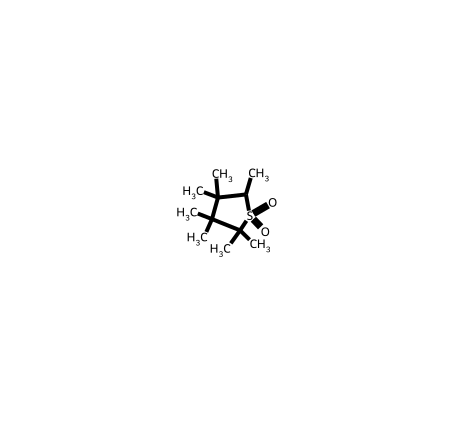 CC1C(C)(C)C(C)(C)C(C)(C)S1(=O)=O